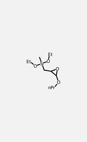 CCCOC1OC1C[Si](C)(OCC)OCC